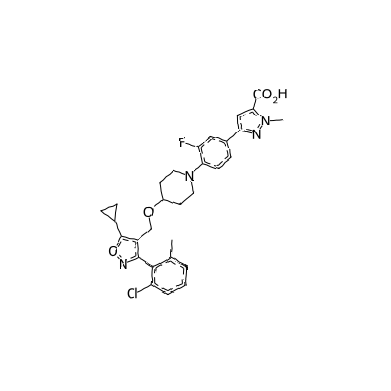 Cc1cccc(Cl)c1-c1noc(C2CC2)c1COC1CCN(c2ccc(-c3cc(C(=O)O)n(C)n3)cc2F)CC1